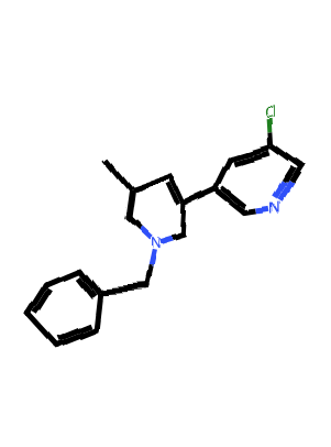 CC1C=C(c2cncc(Cl)c2)CN(Cc2ccccc2)C1